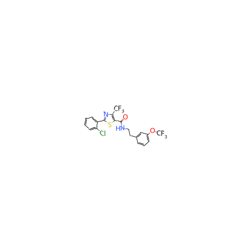 O=C(NCCc1cccc(OC(F)(F)F)c1)c1sc(-c2ccccc2Cl)nc1C(F)(F)F